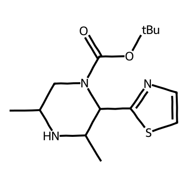 CC1CN(C(=O)OC(C)(C)C)C(c2nccs2)C(C)N1